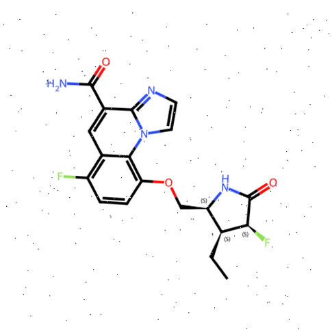 CC[C@@H]1[C@H](F)C(=O)N[C@@H]1COc1ccc(F)c2cc(C(N)=O)c3nccn3c12